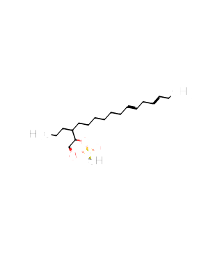 CCC=CCC=CCCCCCCC(CCC)C(C=O)OS(C)(=O)=O